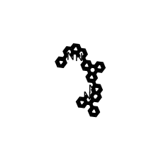 c1ccc(-c2ccc3ccc4ccc(-c5ccc6c7ccc(-c8ccc9ccc%10c(-c%11ccccc%11)c%11ccccc%11nc%10c9n8)cc7c7ccccc7c6c5)nc4c3n2)cc1